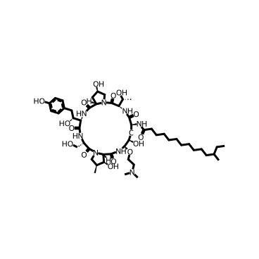 CCC(C)CCCCCCCCCCC(=O)N[C@H]1C[C@@H](O)[C@@H](OCCN(C)C)NC(=O)[C@@H]2[C@@H](O)[C@@H](C)CN2C(=O)[C@H](CO)NC(=O)[C@H]([C@H](O)Cc2ccc(O)cc2)NC(=O)[C@@H]2C[C@@H](O)CN2C(=O)[C@H]([C@@H](C)O)NC1=O